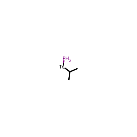 CC(C)[Te]P